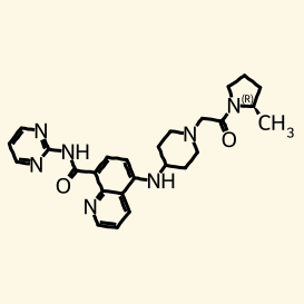 C[C@@H]1CCCN1C(=O)CN1CCC(Nc2ccc(C(=O)Nc3ncccn3)c3ncccc23)CC1